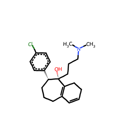 CN(C)CCC[C@@]1(O)C2=C(C=CCC2)CCC[C@@H]1c1ccc(Cl)cc1